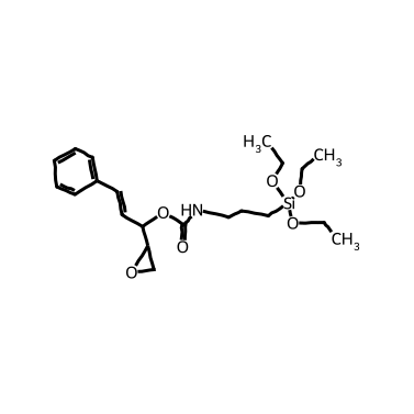 CCO[Si](CCCNC(=O)OC(/C=C/c1ccccc1)C1CO1)(OCC)OCC